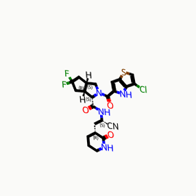 N#C[C@H](C[C@H]1CCCNC1=O)NC(=O)[C@@H]1[C@@H]2CC(F)(F)C[C@@H]2CN1C(=O)c1cc2scc(Cl)c2[nH]1